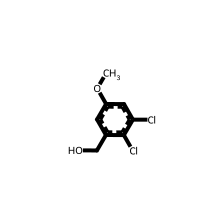 COc1cc(Cl)c(Cl)c(CO)c1